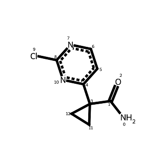 NC(=O)C1(c2ccnc(Cl)n2)CC1